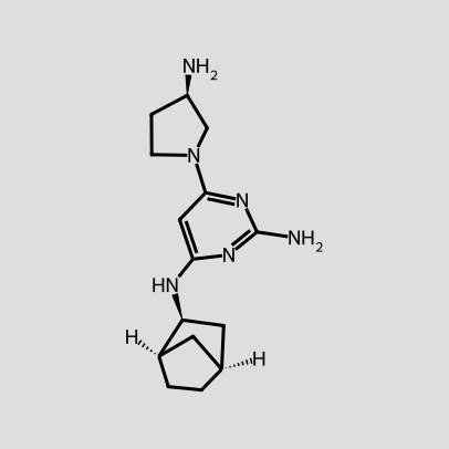 Nc1nc(N[C@H]2C[C@H]3CC[C@@H]2C3)cc(N2CC[C@@H](N)C2)n1